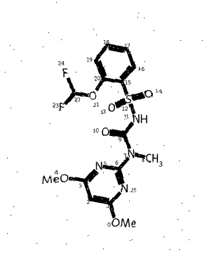 COc1cc(OC)nc(N(C)C(=O)NS(=O)(=O)c2ccccc2OC(F)F)n1